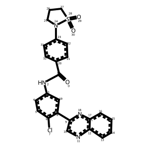 O=C(Nc1ccc(Cl)c(-c2cnc3ccccc3n2)c1)c1ccc(N2CCCS2(=O)=O)cc1